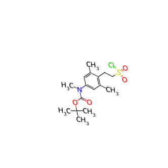 Cc1cc(N(C)C(=O)OC(C)(C)C)cc(C)c1CCS(=O)(=O)Cl